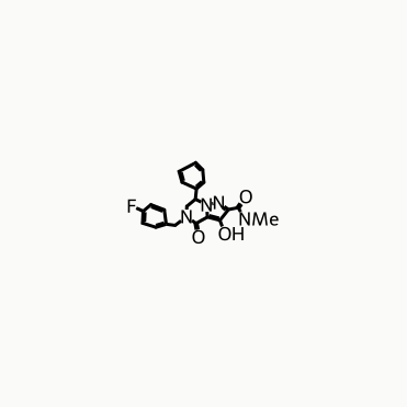 CNC(=O)c1nn2c(c1O)C(=O)N(Cc1ccc(F)cc1)CC2c1ccccc1